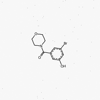 O=C(c1cc(O)cc(Br)c1)N1CCOCC1